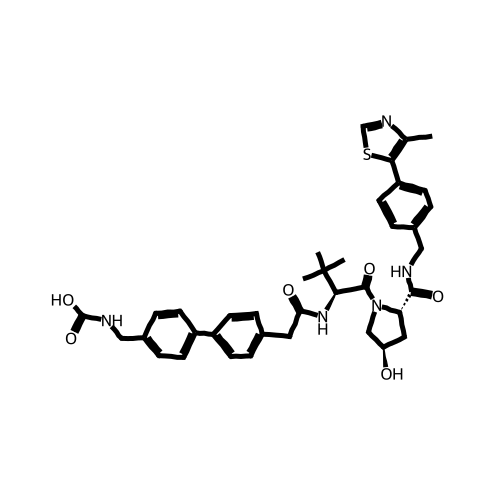 Cc1ncsc1-c1ccc(CNC(=O)[C@@H]2C[C@@H](O)CN2C(=O)[C@@H](NC(=O)Cc2ccc(-c3ccc(CNC(=O)O)cc3)cc2)C(C)(C)C)cc1